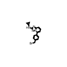 BrCc1ccc(-c2cccc3nc(NC4CC4)nn23)cc1